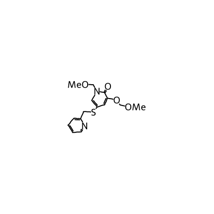 COCOc1cc(SCc2ccccn2)cn(COC)c1=O